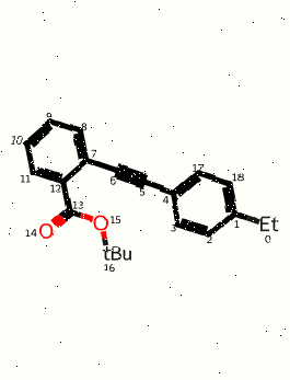 CCc1ccc(C#Cc2ccccc2C(=O)OC(C)(C)C)cc1